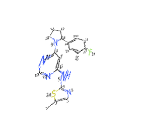 Cc1cnc(Nc2cc(N3CCCC3c3ccc(F)cc3)ncn2)s1